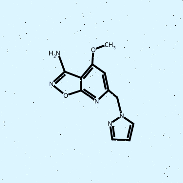 COc1cc(Cn2cccn2)nc2onc(N)c12